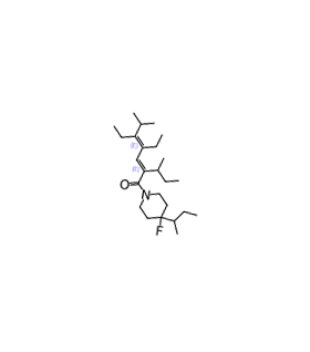 CCC(/C=C(/C(=O)N1CCC(F)(C(C)CC)CC1)C(C)CC)=C(/CC)C(C)C